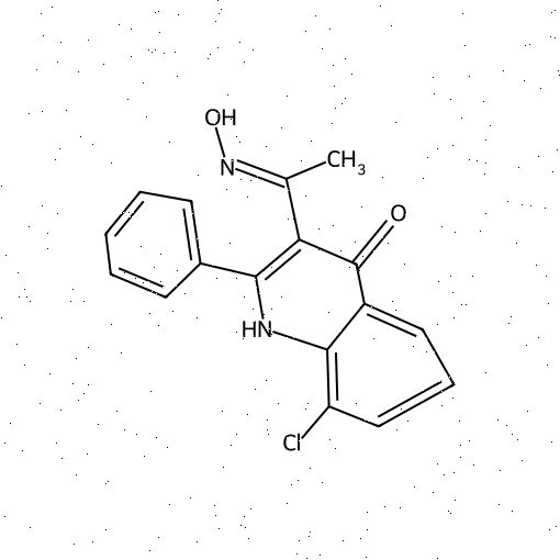 C/C(=N\O)c1c(-c2ccccc2)[nH]c2c(Cl)cccc2c1=O